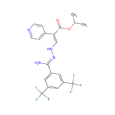 CC(C)OC(=O)/C(=C/N/N=C(\N)c1cc(C(F)(F)F)cc(C(F)(F)F)c1)c1ccncc1